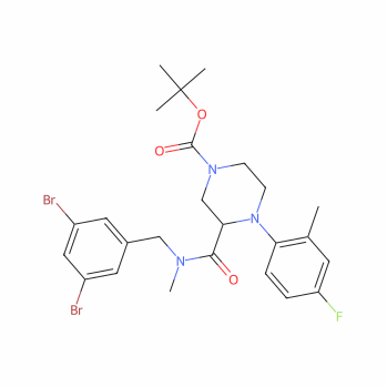 Cc1cc(F)ccc1N1CCN(C(=O)OC(C)(C)C)CC1C(=O)N(C)Cc1cc(Br)cc(Br)c1